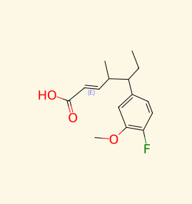 CCC(c1ccc(F)c(OC)c1)C(C)/C=C/C(=O)O